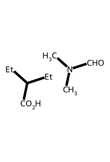 CCC(CC)C(=O)O.CN(C)C=O